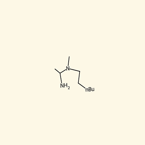 CCCCCCN(C)C(C)N